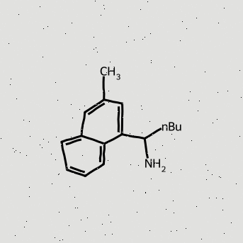 CCCCC(N)c1cc(C)cc2ccccc12